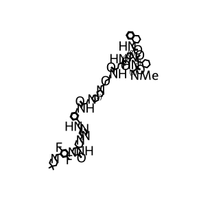 CN[C@@H](C)C(=O)N[C@H](C(=O)N1C[C@@H](NC(=O)CCC(=O)NCCOCCN2CC[C@]3(CCN(CCC(=O)NCc4cccc(CNc5cc(N6CCC7(CC6)CN(c6cc(F)c(CN8CCC(C)(C)CC8)cc6F)CC(=O)N7)ncn5)c4)C3)C2)C[C@H]1C(=O)NC1CCCc2ccccc21)C1CCCCC1